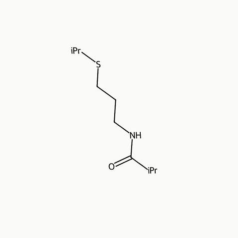 CC(C)SCCCNC(=O)C(C)C